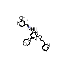 Cc1cc(/C=N/Nc2cc(N3CCOCC3)nc(OCCc3ccccn3)n2)ccn1